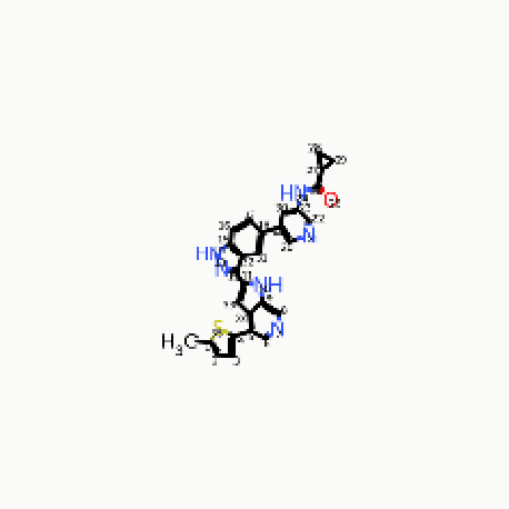 Cc1ccc(-c2cncc3[nH]c(-c4n[nH]c5ccc(-c6cncc(NC(=O)C7CC7)c6)cc45)cc23)s1